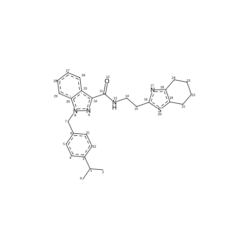 CC(C)c1ccc(Cn2nc(C(=O)NCCc3nc4c(s3)CCCC4)c3ccccc32)cc1